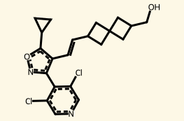 OCC1CC2(CC(/C=C/c3c(-c4c(Cl)cncc4Cl)noc3C3CC3)C2)C1